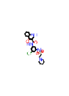 O=C(Nc1cc(Cl)cc(NS(=O)(=O)CCN2CCCCC2)c1)c1c[nH]c2ccccc2c1=O